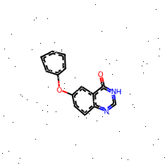 O=c1[nH]cnc2ccc(Oc3ccccc3)cc12